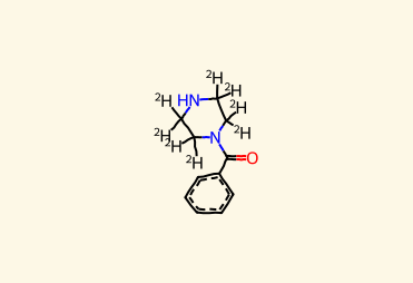 [2H]C1([2H])NC([2H])([2H])C([2H])([2H])N(C(=O)c2ccccc2)C1([2H])[2H]